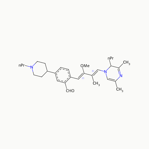 CCCC1C(C)=NC(C)=CN1/C=C(C)/C(=C/c1ccc(C2CCN(CCC)CC2)cc1C=O)OC